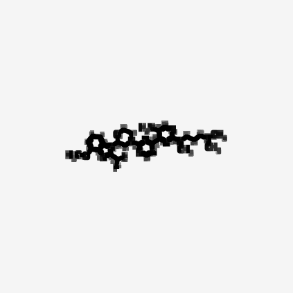 COc1cccc2c1nc(C(F)F)n2C1CN(c2ncnc(-c3nc(N(C)CCCN(C)C)ncc3N)n2)CCO1